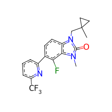 Cn1c(=O)n(CC2(C)CC2)c2ccc(-c3cccc(C(F)(F)F)n3)c(F)c21